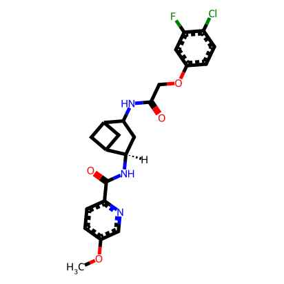 COc1ccc(C(=O)N[C@@H]2CC(NC(=O)COc3ccc(Cl)c(F)c3)C3CC2C3)nc1